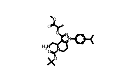 COC(=O)C(F)Oc1nn(-c2ccc(C(C)C)cc2)c2c1C(CN)N(C(=O)OC(C)(C)C)CC2